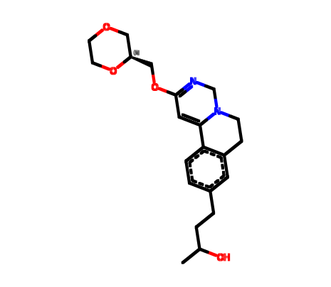 CC(O)CCc1ccc2c(c1)CCN1CN=C(OC[C@@H]3COCCO3)C=C21